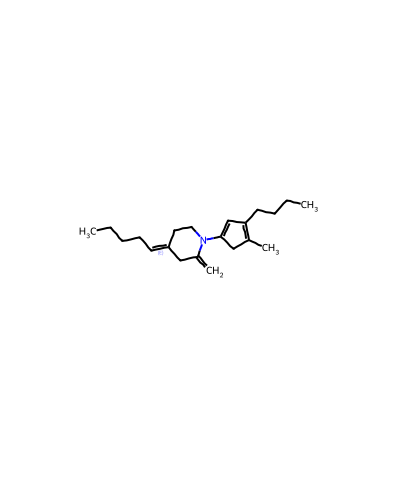 C=C1C/C(=C/CCCC)CCN1C1=CC(CCCC)=C(C)C1